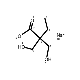 CCC(CO)(CO)C(=O)[O-].[Na+]